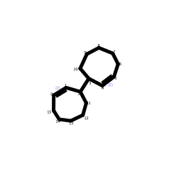 C1=C\C(C2/C=C\CCCCC2)CCCCC/1